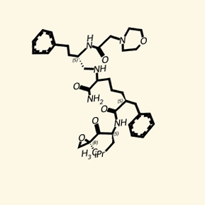 CC(C)C[C@H](NC(=O)[C@@H](CCCC(NC[C@H](CCc1ccccc1)NC(=O)CN1CCOCC1)C(N)=O)Cc1ccccc1)C(=O)[C@@]1(C)CO1